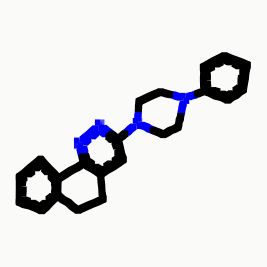 c1ccc(N2CCN(c3cc4c(nn3)-c3ccccc3CC4)CC2)cc1